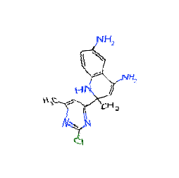 Cc1cc(C2(C)C=C(N)c3cc(N)ccc3N2)nc(Cl)n1